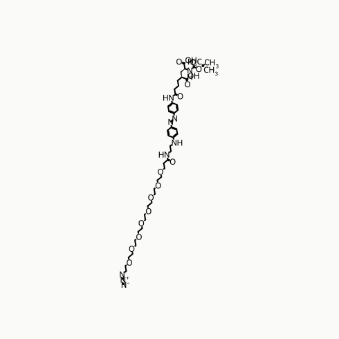 CC(C)(C)OC(=O)N[C@@H](C[C@H](CCCC(=O)Nc1ccc(/N=N/c2ccc(NCCNC(=O)CCOCCOCCOCCOCCOCCOCCOCCOCCN=[N+]=[N-])cc2)cc1)C(=O)O)C(=O)O